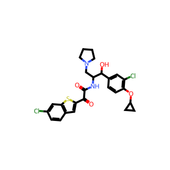 O=C(NC(CN1CCCC1)C(O)c1ccc(OC2CC2)c(Cl)c1)C(=O)c1cc2ccc(Cl)cc2s1